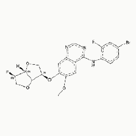 COc1cc2c(Nc3ccc(Br)cc3F)ncnc2cc1O[C@@H]1CO[C@@H]2C1OC[C@H]2F